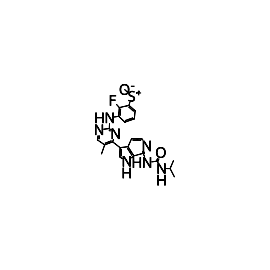 Cc1cnc(Nc2cccc([S+](C)[O-])c2F)nc1-c1c[nH]c2c(NC(=O)NC(C)C)nccc12